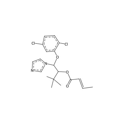 CC=CC(=O)OC(C(Oc1cc(Cl)ccc1Cl)n1ccnc1)C(C)(C)C